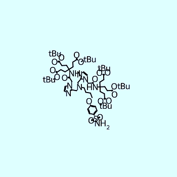 CC(C)(C)OC(=O)CCC(CCC(=O)OC(C)(C)C)(CCC(=O)OC(C)(C)C)NC(=O)Cn1ccnc1CN(CCCCOc1ccc(S(N)(=O)=O)cc1)Cc1nccn1CC(=O)NC(CCC(=O)OC(C)(C)C)(CCC(=O)OC(C)(C)C)CCC(=O)OC(C)(C)C